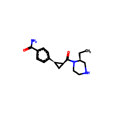 CC[C@H]1CNCCN1C(=O)[C@H]1C[C@@H]1c1ccc(C(N)=O)cc1